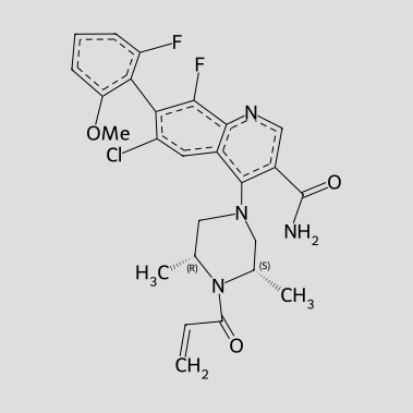 C=CC(=O)N1[C@H](C)CN(c2c(C(N)=O)cnc3c(F)c(-c4c(F)cccc4OC)c(Cl)cc23)C[C@@H]1C